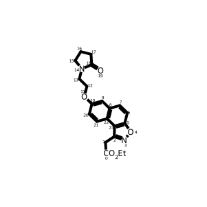 CCOC(=O)Cc1noc2ccc3cc(OCCN4CCCC4=O)ccc3c12